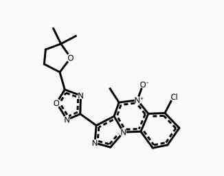 Cc1c2c(-c3noc(C4CCC(C)(C)O4)n3)ncn2c2cccc(Cl)c2[n+]1[O-]